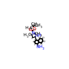 CC(CC(=N)c1ccc(N)c2ccccc12)N(C)C(=O)OC(C)(C)C